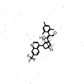 Cc1cc(C)c(/C(C=O)=C(\O)[C@]2(C)[C@@H]3O[C@@H](CC3c3ccnc4cc(C(F)(F)F)ccc34)[C@H]2C)c(C)c1